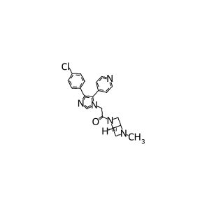 CN1C[C@H]2C1CN2C(=O)Cn1cnc(-c2ccc(Cl)cc2)c1-c1ccncc1